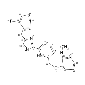 CN1C(=S)C(NC(=O)c2ncn(Cc3ccccc3F)n2)COc2cccnc21